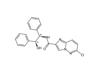 O=C(N[C@H](c1ccccc1)[C@@H](O)c1ccccc1)c1cn2nc(Cl)ccc2n1